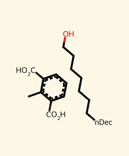 CCCCCCCCCCCCCCCCCO.Cc1c(C(=O)O)cccc1C(=O)O